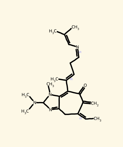 C=C1C(=O)C(/C(C)=C/C/C=N\C=C(C)C)=C2C(=NC(N(C)C)N2C)C/C1=C/C